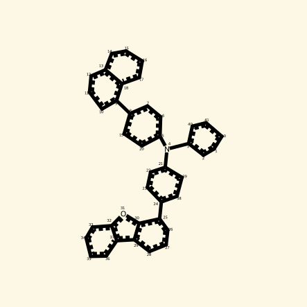 c1ccc(N(c2ccc(-c3cccc4ccccc34)cc2)c2ccc(-c3cccc4c3oc3ccccc34)cc2)cc1